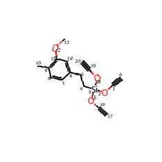 C#CO[Si](CCc1ccc(C)c(OC)c1)(OC#C)OC#C